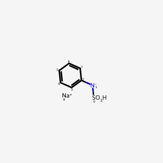 O=S(=O)(O)[N-]c1ccccc1.[Na+]